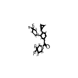 O=C(c1ccc(C2CC2)c(N2CCC(F)(F)C2)c1)N1CCC(F)(F)C1